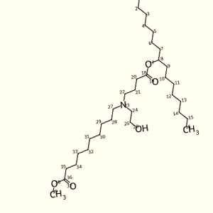 CCCCCCCCC(CCCCCCCC)OC(=O)CCCN(CCO)CCCCCCCCCC(=O)OC